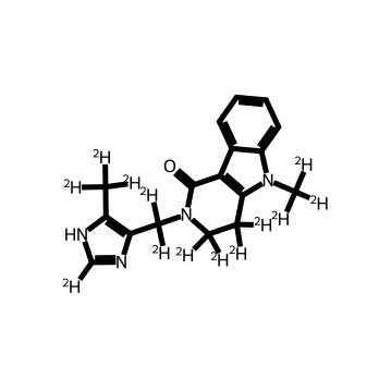 [2H]c1nc(C([2H])([2H])N2C(=O)c3c(n(C([2H])([2H])[2H])c4ccccc34)C([2H])([2H])C2([2H])[2H])c(C([2H])([2H])[2H])[nH]1